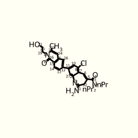 CCCN(CCC)C(=O)C1=Cc2c(Cl)cc(-c3ccc4c(=O)n(CCO)c(C)cc4c3)cc2N=C(N)C1